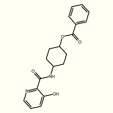 O=C(OC1CCC(NC(=O)c2ncccc2O)CC1)c1ccccc1